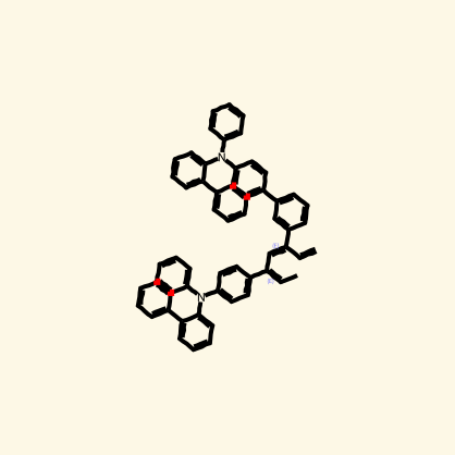 C=C/C(=C\C(=C/C)c1ccc(N(c2ccccc2)c2ccccc2-c2ccccc2)cc1)c1cccc(-c2ccc(N(c3ccccc3)c3ccccc3-c3ccccc3)cc2)c1